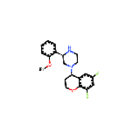 CC(C)Oc1ccccc1[C@@H]1CN([C@@H]2CCOc3c(F)cc(F)cc32)CCN1